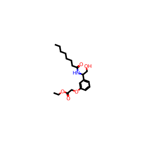 CCCCCCCC(=O)NC(CO)c1cccc(OCC(=O)OCC)c1